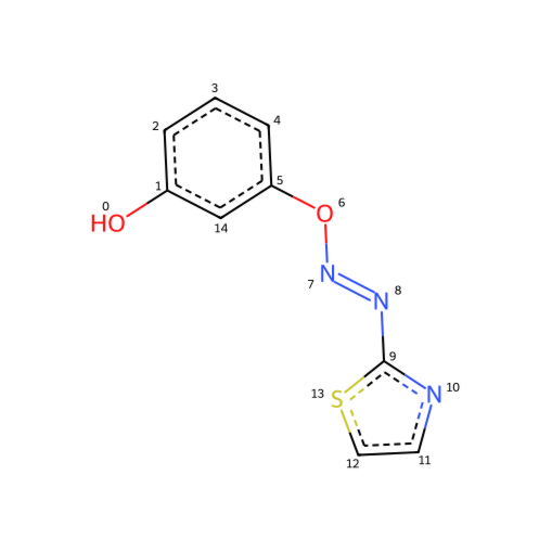 Oc1cccc(ON=Nc2nccs2)c1